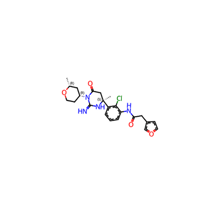 C[C@@H]1C[C@H](N2C(=N)N[C@](C)(c3cccc(NC(=O)Cc4ccoc4)c3Cl)CC2=O)CCO1